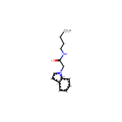 O=C(O)CCCNC(=O)Cn1ccc2ccccc21